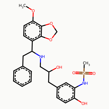 COc1ccc(C(Cc2ccccc2)NCC(O)Cc2ccc(O)c(NS(C)(=O)=O)c2)c2c1OCO2